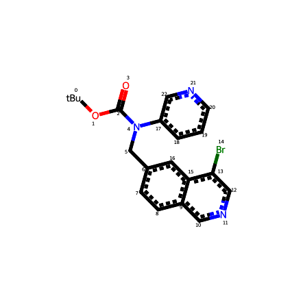 CC(C)(C)OC(=O)N(Cc1ccc2cncc(Br)c2c1)c1cccnc1